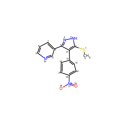 CSc1[nH]nc(-c2cccnc2)c1-c1ccc([N+](=O)[O-])cc1